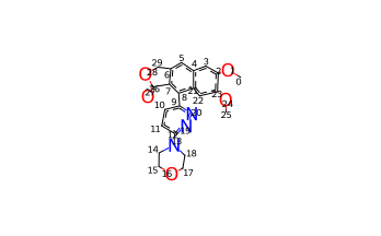 COc1cc2cc3c(c(-c4ccc(N5CCOCC5)nn4)c2cc1OC)C(=O)OC3